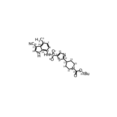 Cc1ccc(NS(=O)(=O)c2cnc(C3CCN(C(=O)OC(C)(C)C)CC3)s2)c2[nH]cc(C#N)c12